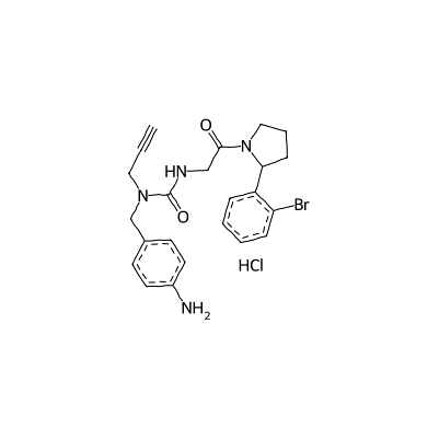 C#CCN(Cc1ccc(N)cc1)C(=O)NCC(=O)N1CCCC1c1ccccc1Br.Cl